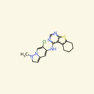 CN1CC=C2C=C(Nc3ncnc4sc5c(c34)CCCC5)C(Cl)=CN21